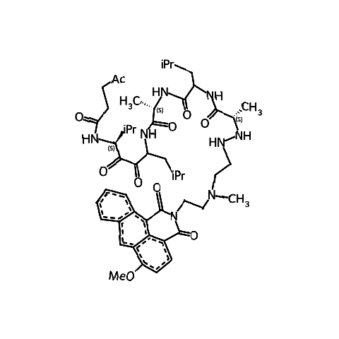 COc1ccc2c3c(c4ccccc4cc13)C(=O)N(CCN(C)CCNN[C@@H](C)C(=O)NC(CC(C)C)C(=O)N[C@@H](C)C(=O)NC(CC(C)C)C(=O)C(=O)[C@@H](NC(=O)CCC(C)=O)C(C)C)C2=O